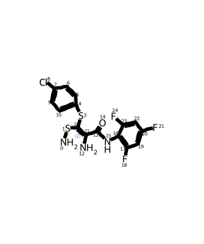 NS/C(Sc1ccc(Cl)cc1)=C(\N)C(=O)Nc1c(F)cc(F)cc1F